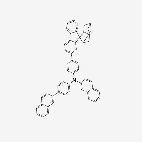 c1ccc2c(c1)-c1ccc(-c3ccc(N(c4ccc(-c5ccc6ccccc6c5)cc4)c4ccc5ccccc5c4)cc3)cc1C21C2CC3CC(C2)C1C3